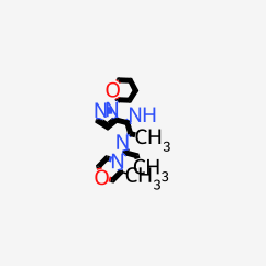 CC/C(=N\C(C)C(=N)c1ccnn1C1CCCCO1)N1CCOC[C@H]1C